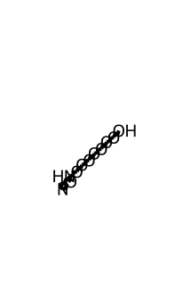 O=C(Cc1ccncc1)NCCOCCOCCOCCOCCOCCOCCOCCO